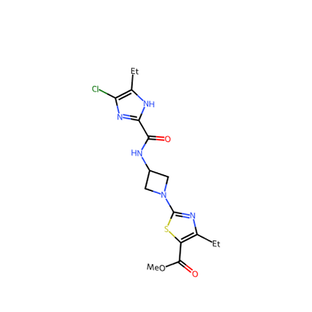 CCc1nc(N2CC(NC(=O)c3nc(Cl)c(CC)[nH]3)C2)sc1C(=O)OC